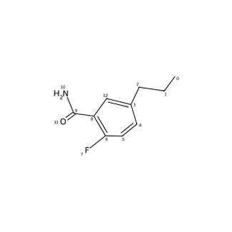 CCCc1ccc(F)c(C(N)=O)c1